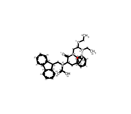 CCOC(CN(C(=O)C(Cc1cccnc1)N(CC1c2ccccc2-c2ccccc21)C(=O)O)C1CC1)OCC